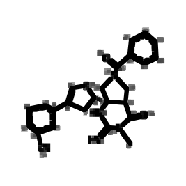 CN1C(=N)N[C@@]2(C3CC(c4cccc(C#N)c4)=CS3)CN(C(=O)c3ccccc3)CC2C1=O